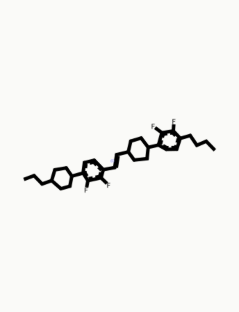 CCCCc1ccc(C2CCC(/C=C/c3ccc(C4CCC(CCC)CC4)c(F)c3F)CC2)c(F)c1F